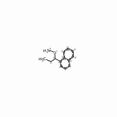 CCC(O[SiH3])c1cccc2ccccc12